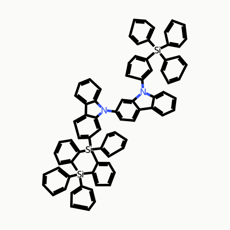 c1ccc([Si](c2ccccc2)(c2ccccc2)c2cccc(-n3c4ccccc4c4ccc(-n5c6ccccc6c6ccc([Si]7(c8ccccc8)c8ccccc8[Si](c8ccccc8)(c8ccccc8)c8ccccc87)cc65)cc43)c2)cc1